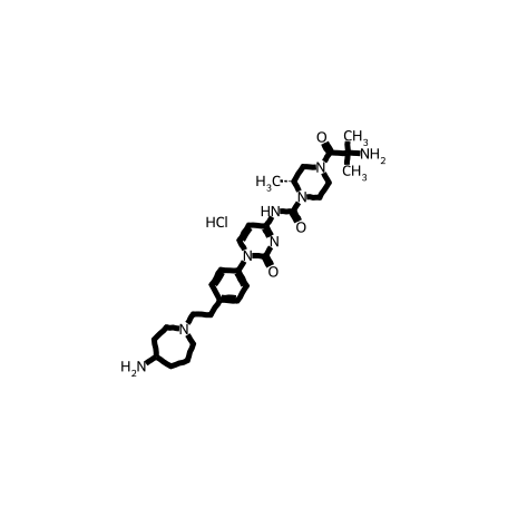 C[C@@H]1CN(C(=O)C(C)(C)N)CCN1C(=O)Nc1ccn(-c2ccc(CCN3CCCC(N)CC3)cc2)c(=O)n1.Cl